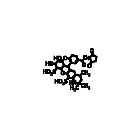 CC1CC(C)(C)Nc2c1cc1c(-c3cc(C(=O)ON4C(=O)CCC4=O)ccc3C(=O)O)c3ccc(=N)c(S(=O)(=O)O)c-3oc1c2S(=O)(=O)O